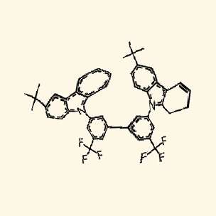 CC(C)(C)c1ccc2c(c1)c1c(n2-c2cc(-c3cc(-n4c5ccccc5c5cc(C(C)(C)C)ccc54)cc(C(F)(F)F)c3)cc(C(F)(F)F)c2)CCC=C1